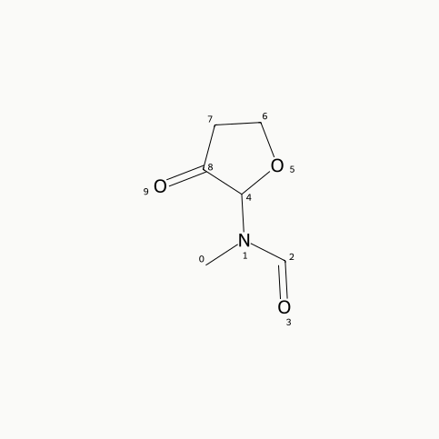 CN(C=O)C1OCCC1=O